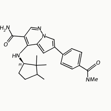 CNC(=O)c1ccc(-c2cc3c(N[C@@H]4CCC(C)C4(C)C)c(C(N)=O)cnn3c2)cc1